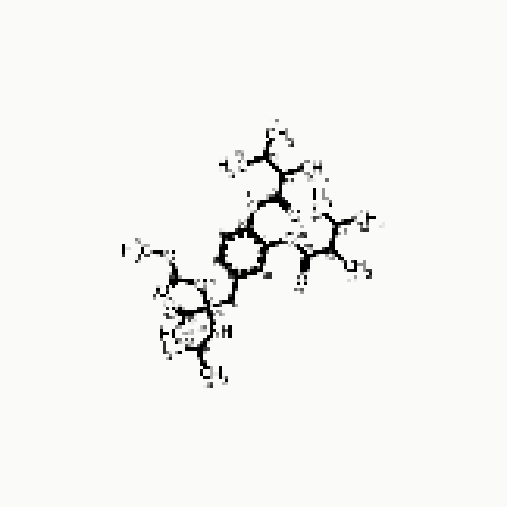 COC(=O)O[C@](Cc1ccc(OC(=O)C(C)C(C)C)c(OC(=O)C(C)C(C)C)c1)(NC(C)C)C(=O)O